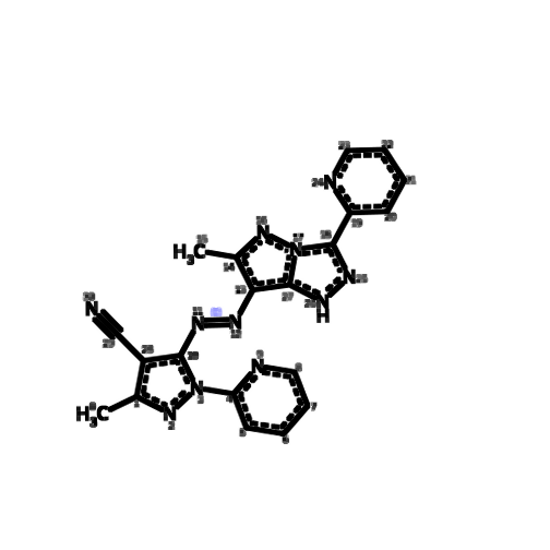 Cc1nn(-c2ccccn2)c(/N=N/c2c(C)nn3c(-c4ccccn4)n[nH]c23)c1C#N